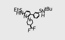 CCSNc1ccc(-c2cccc(SNC(C)(C)C)c2)c(N2CCC(=C(F)F)CC2)n1